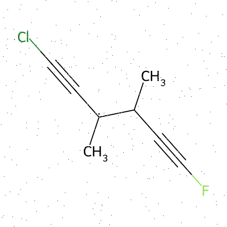 C[C](C#CCl)C(C)C#CF